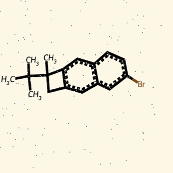 CC(C)(C)C1(C)Cc2cc3cc(Br)ccc3cc21